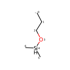 [CH2]CCO[SiH](C)C